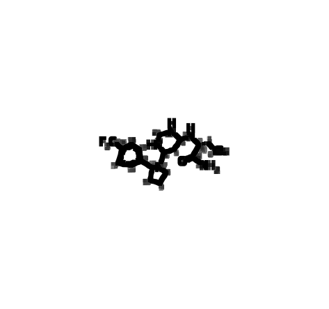 CC(C)(C)C[C@@H](NC1CC(N2CCCC2c2ccc(C(F)(F)F)cc2)NCN1)C(N)=O